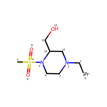 C[C](C)CN1CCN(S(C)(=O)=O)C(CO)C1